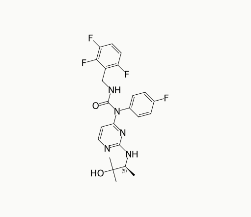 C[C@H](Nc1nccc(N(C(=O)NCc2c(F)ccc(F)c2F)c2ccc(F)cc2)n1)C(C)(C)O